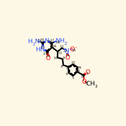 COC(=O)c1ccc(CCCC(C[N+](=O)[O-])c2c(N)nc(N)[nH]c2=O)cc1